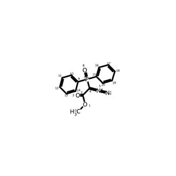 COC(=O)C(=[N+]=[N-])P(=O)(c1ccccc1)c1ccccc1